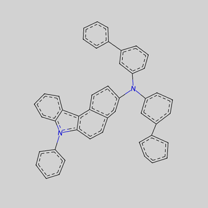 c1ccc(-c2cccc(N(c3cccc(-c4ccccc4)c3)c3ccc4c(ccc5c4c4ccccc4n5-c4ccccc4)c3)c2)cc1